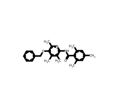 Cc1cc(C)c(C(=O)Nc2nc(C)c(OCc3ccccc3)c(C)c2C)c(C)c1